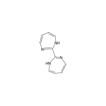 C1=CN=C(C2=NC=CC=CN2)NC=C1